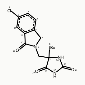 CC(C)(C)C1(CN2Cc3ccc(Cl)cc3C2=O)NC(=O)NC1=O